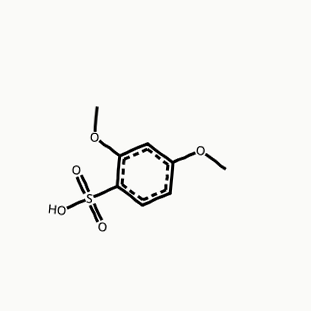 COc1ccc(S(=O)(=O)O)c(OC)c1